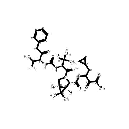 CC(C)[C@H](NC(=O)N[C@H](C(=O)N1C[C@H]2[C@@H]([C@H]1C(=O)NC(CC1CC1)C(=O)C(N)=O)C2(C)C)C(C)(C)C)C(=O)Cc1ccccc1